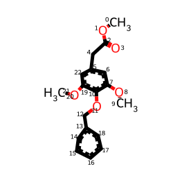 COC(=O)Cc1cc(OC)c(OCc2ccccc2)c(OC)c1